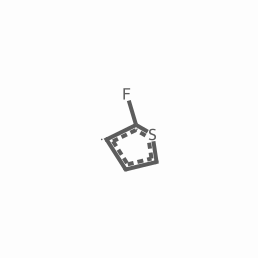 Fc1[c]ccs1